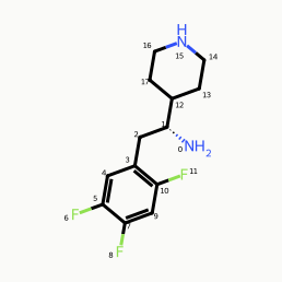 N[C@H](Cc1cc(F)c(F)cc1F)C1CCNCC1